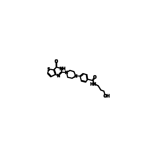 O=C(NCCCO)c1ccc(N2CCN(c3nc4ccsc4c(=O)[nH]3)CC2)cc1